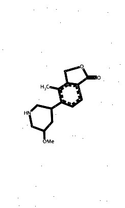 COC1CNCC(c2ccc3c(c2C)COC3=O)C1